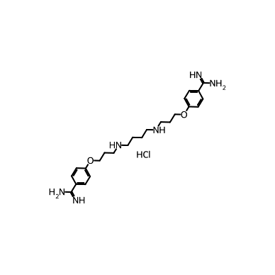 Cl.N=C(N)c1ccc(OCCCNCCCCNCCCOc2ccc(C(=N)N)cc2)cc1